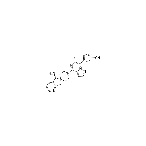 Cc1nc(N2CCC3(CC2)Cc2ncccc2[C@H]3N)c2ccnn2c1-c1ccc(C#N)s1